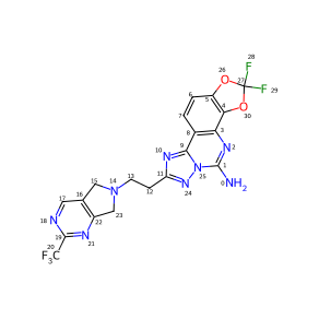 Nc1nc2c3c(ccc2c2nc(CCN4Cc5cnc(C(F)(F)F)nc5C4)nn12)OC(F)(F)O3